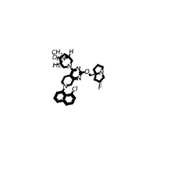 CO[C@@H]1C[C@@H]2CN(c3nc(OC[C@@]45CCCN4C[C@H](F)C5)nc4c3CCN(c3cccc5cccc(Cl)c35)C4)C[C@H]1N2